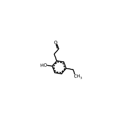 CCc1ccc(O)c(CC=O)c1